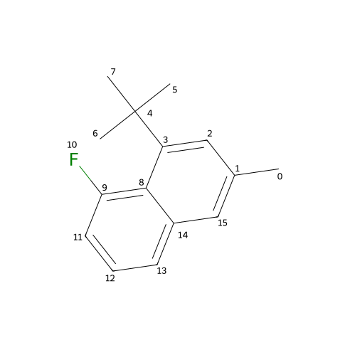 Cc1cc(C(C)(C)C)c2c(F)cccc2c1